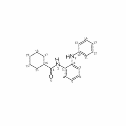 O=C(Nc1ccccc1Nc1ccccc1)C1CCCCC1